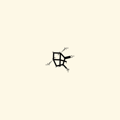 CC1(C)[C@H]2CC(Br)C(=O)[C@@H]1C2